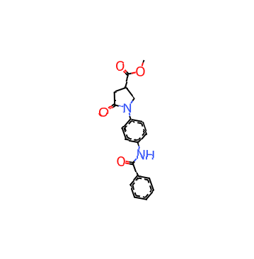 COC(=O)C1CC(=O)N(c2ccc(NC(=O)c3ccccc3)cc2)C1